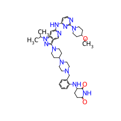 COC1CCN(c2nccc(Nc3cc4c(cn3)c(N3CCC(N5CCN(Cc6ccccc6NC6CCC(=O)NC6=O)CC5)CC3)nn4C(C)C)n2)CC1